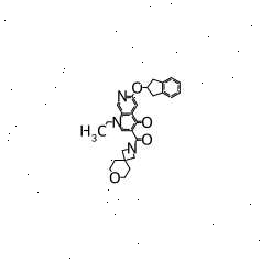 CCn1cc(C(=O)N2CC3(CCOCC3)C2)c(=O)c2cc(OC3Cc4ccccc4C3)ncc21